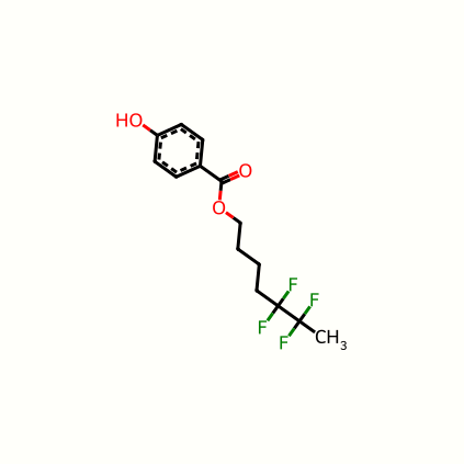 CC(F)(F)C(F)(F)CCCCOC(=O)c1ccc(O)cc1